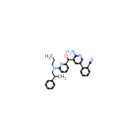 CCCN(CC(C)c1ccccc1)c1cccc(C(=O)c2cc(-c3ccccc3C#N)cnc2N)n1